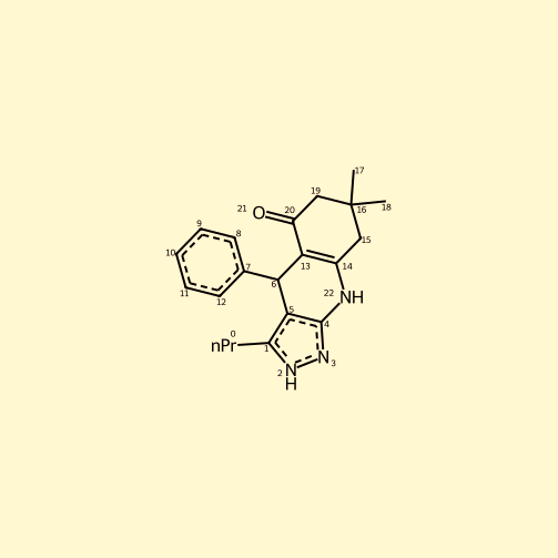 CCCc1[nH]nc2c1C(c1ccccc1)C1=C(CC(C)(C)CC1=O)N2